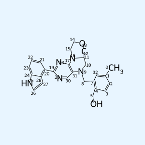 Cc1ccc(CO)c(CN2CC3COCCN3c3nc(-c4cccc5[nH]ccc45)ncc32)c1